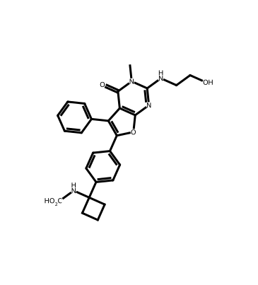 Cn1c(NCCO)nc2oc(-c3ccc(C4(NC(=O)O)CCC4)cc3)c(-c3ccccc3)c2c1=O